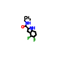 CCNC(=O)c1cc2c(F)c(F)ccc2[nH]1